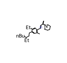 C=C(/C=C/c1cc(CC)c(CCC(CC)CCCC)cc1C)N1CCCCC1